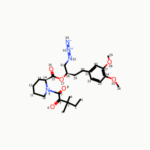 CCC(C)(C)C(=O)C(=O)N1CCCC[C@H]1C(=O)O[C@H](CCc1ccc(OC)c(OC)c1)CN=[N+]=[N-]